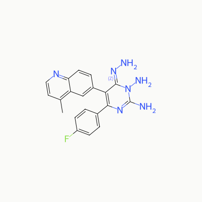 Cc1ccnc2ccc(-c3c(-c4ccc(F)cc4)nc(N)n(N)/c3=N\N)cc12